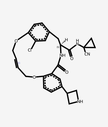 N#CC1(NC(=O)[C@@H]2Cc3ccc(c(Cl)c3)OC/C=C/COc3ccc(C4CNC4)cc3C(=O)N2)CC1